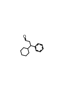 O=CCC(c1ccccc1)C1CCCCC1